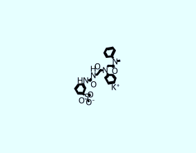 CN(C(=O)CN(C(=O)CNC(=O)Nc1cccc(S(=O)(=O)[O-])c1)c1ccccc1)c1ccccc1.[K+]